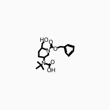 CC(C)(C)N(C(=O)O)C1CCC(CO)N(C(=O)OCc2ccccc2)C1